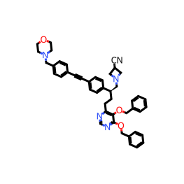 N#CC1CN(C[C@@H](CCc2ncnc(OCc3ccccc3)c2OCc2ccccc2)c2ccc(C#Cc3ccc(CN4CCOCC4)cc3)cc2)C1